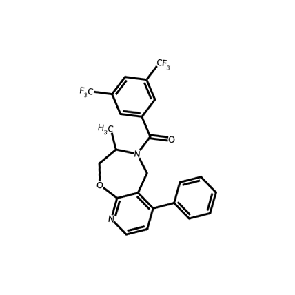 CC1COc2nccc(-c3ccccc3)c2CN1C(=O)c1cc(C(F)(F)F)cc(C(F)(F)F)c1